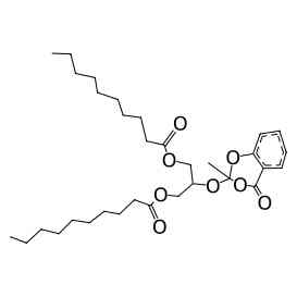 CCCCCCCCCC(=O)OCC(COC(=O)CCCCCCCCC)OC1(C)OC(=O)c2ccccc2O1